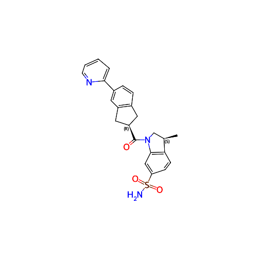 C[C@@H]1CN(C(=O)[C@@H]2Cc3ccc(-c4ccccn4)cc3C2)c2cc(S(N)(=O)=O)ccc21